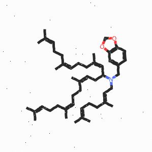 CC(C)=CCCC(C)=CCCC(C)=CCC(C=C(C)CCC=C(C)CCC=C(C)C)N(C/C=C(\C)CCC=C(C)C)Cc1ccc2c(c1)OCO2